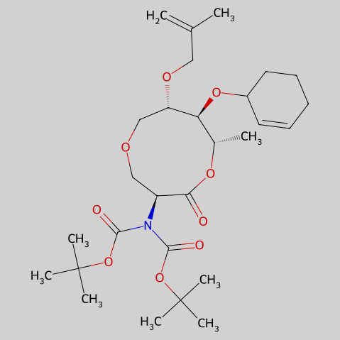 C=C(C)CO[C@H]1COC[C@H](N(C(=O)OC(C)(C)C)C(=O)OC(C)(C)C)C(=O)O[C@@H](C)[C@@H]1OC1C=CCCC1